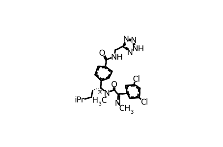 CN=C(C(=O)N(C)[C@H](CCC(C)C)c1ccc(C(=O)NCc2nn[nH]n2)cc1)c1cc(Cl)cc(Cl)c1